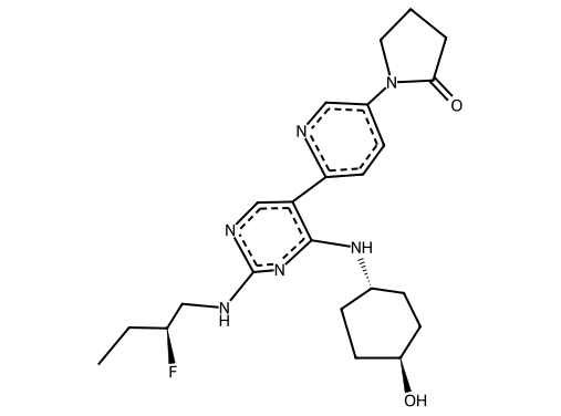 CC[C@H](F)CNc1ncc(-c2ccc(N3CCCC3=O)cn2)c(N[C@H]2CC[C@H](O)CC2)n1